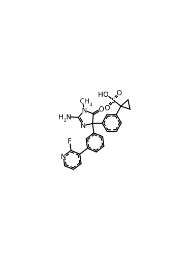 CN1C(=O)C(c2cccc(-c3cccnc3F)c2)(c2cccc(C3(S(=O)(=O)O)CC3)c2)N=C1N